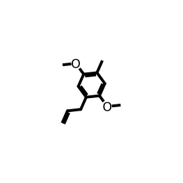 C=CCc1cc(OC)c(C)cc1OC